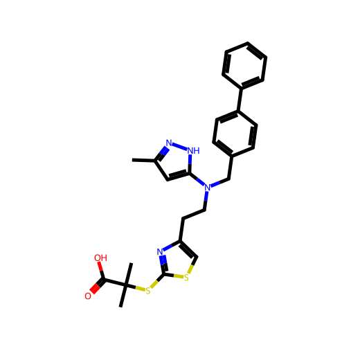 Cc1cc(N(CCc2csc(SC(C)(C)C(=O)O)n2)Cc2ccc(-c3ccccc3)cc2)[nH]n1